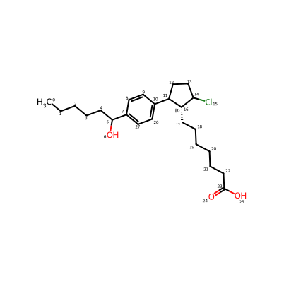 CCCCCC(O)c1ccc(C2CCC(Cl)[C@@H]2CCCCCCC(=O)O)cc1